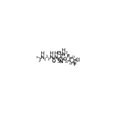 CC(C)NCCCNC(=O)Nc1snc(OCc2cc(F)c(Cl)cc2F)c1C(N)=O